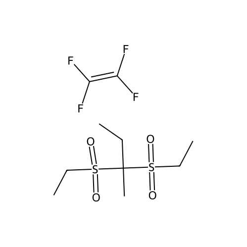 CCC(C)(S(=O)(=O)CC)S(=O)(=O)CC.FC(F)=C(F)F